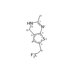 CC1=Nc2sc(CC(F)(F)F)cc2CN1